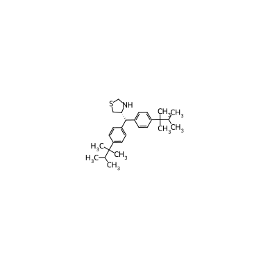 CC(C)C(C)(C)c1ccc(C(c2ccc(C(C)(C)C(C)C)cc2)[C@@H]2CSCN2)cc1